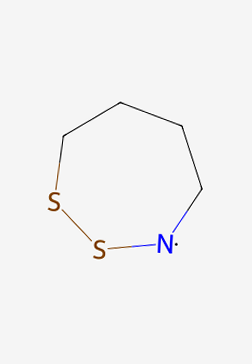 C1CCSS[N]C1